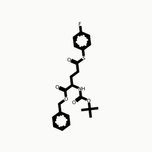 CC(C)(C)OC(=O)NC(CCC(=O)Sc1ccc(F)cc1)C(=O)OCc1ccccc1